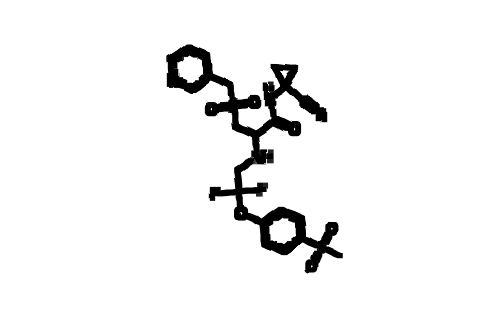 CS(=O)(=O)c1ccc(OC(F)(F)CNC(CS(=O)(=O)Cc2cccnc2)C(=O)NC2(C#N)CC2)cc1